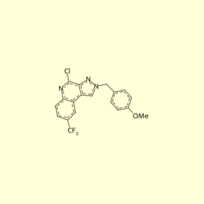 COc1ccc(Cn2cc3c(n2)c(Cl)nc2ccc(C(F)(F)F)cc23)cc1